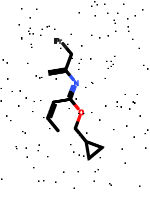 C=C(CC(C)C)/N=C(\C=C/C)OCC1CC1